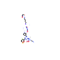 C[C@H](NC(=O)CNC(=O)CCCCCN1C(=O)C=CC1=O)C(=O)Nc1cccc(Cn2cc(-c3cc(F)ccc3F)nc2[C@H](N(CCCN)C(=O)CO)C(C)(C)C)c1